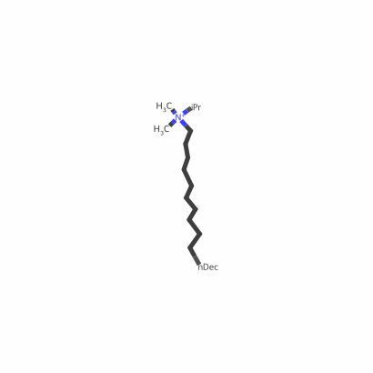 CCCCCCCCCCCCCCCCCCCC[N+](C)(C)C(C)C